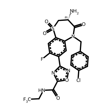 N[C@H]1CS(=O)(=O)c2cc(F)c(-c3noc(C(=O)NCC(F)(F)F)n3)cc2N(Cc2ccc(Cl)cc2)C1=O